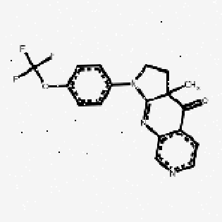 CC12CCN(c3ccc(OC(F)(F)F)cc3)C1=Nc1cnccc1C2=O